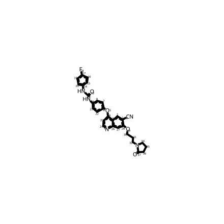 N#Cc1cc2c(Oc3ccc(NC(=O)Nc4ccc(F)cc4)cc3)ccnc2cc1OCCCN1CCCC1=O